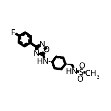 CS(=O)(=O)NC[C@H]1CC[C@H](Nc2nc(-c3ccc(F)cc3)no2)CC1